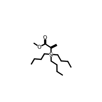 C=C(C(=O)OC)[Si](CCCC)(CCCC)CCCC